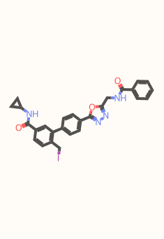 O=C(NCc1nnc(-c2ccc(-c3cc(C(=O)NC4CC4)ccc3CI)cc2)o1)c1ccccc1